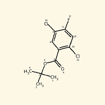 CC(C)(C)OC(=O)c1cc(Cl)c(F)cc1Cl